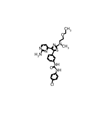 CCOCCN(C)c1nc(-c2ccnc(N)n2)c(-c2cccc(NC(=O)Nc3ccc(Cl)cc3)c2)s1